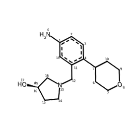 Nc1ccc(C2CCOCC2)c(CN2CC[C@@H](O)C2)c1